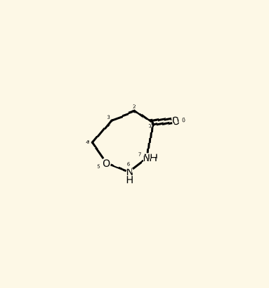 O=C1CCCONN1